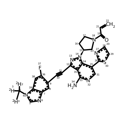 [2H]C([2H])([2H])n1cnc2cc(C#Cc3nn([C@H]4CCN(C(=O)C=C)C4)c4c(-c5nccs5)cnc(N)c34)c(F)cc21